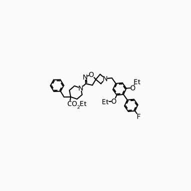 CCOC(=O)C1(Cc2ccccc2)CCN(C2=NOC3(C2)CN(Cc2cc(OCC)c(-c4ccc(F)cc4)c(OCC)c2)C3)CC1